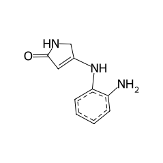 Nc1ccccc1NC1=CC(=O)NC1